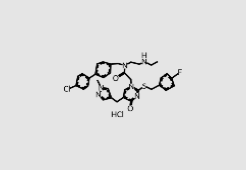 CCNCCN(Cc1ccc(-c2ccc(Cl)cc2)cc1)C(=O)Cn1cc(Cc2cnn(C)c2)c(=O)nc1SCc1ccc(F)cc1.Cl